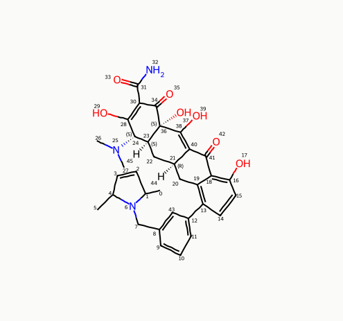 CC1C=CC(C)N1Cc1cccc(-c2ccc(O)c3c2C[C@H]2C[C@H]4[C@H](N(C)C)C(O)=C(C(N)=O)C(=O)[C@@]4(O)C(O)=C2C3=O)c1